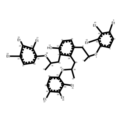 CCc1ccc(OC(C)Cc2ccc(O)c(CC(C)Oc3ccc(CC)c(CC)c3CC)c2CC(C)Oc2ccc(CC)c(CC)c2CC)c(CC)c1CC